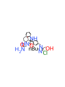 CCCCc1nc(Cl)c(CO)n1Cc1ccc([C@@](Nc2ccccc2)(C(=O)NCC(N)=O)C2CCCCC2)cc1